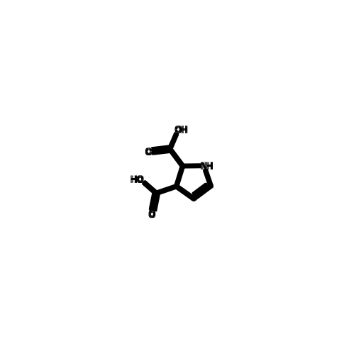 O=C(O)C1C=CNC1C(=O)O